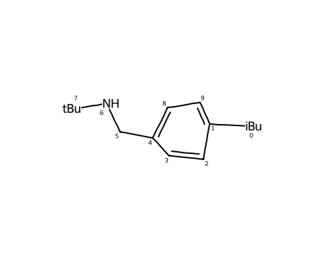 CCC(C)c1ccc(CNC(C)(C)C)cc1